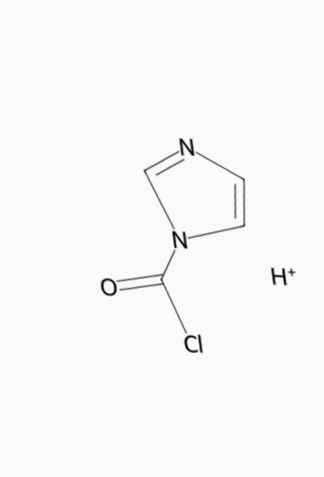 O=C(Cl)n1ccnc1.[H+]